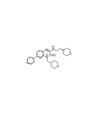 O=C/C(=N\c1ccc(-c2ccncc2)nc1NCC1CCOCC1)NCCN1CCOCC1